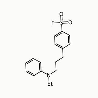 CCN(CCCc1ccc(S(=O)(=O)F)cc1)c1ccccc1